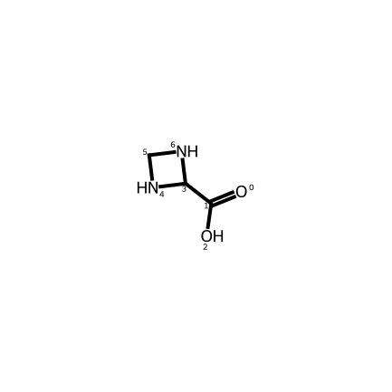 O=C(O)C1NCN1